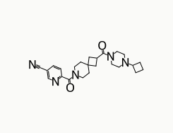 N#Cc1ccc(C(=O)N2CCC3(CC2)CC(C(=O)N2CCN(C4CCC4)CC2)C3)nc1